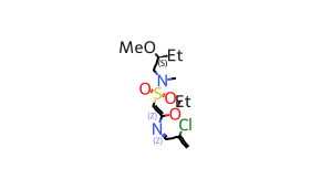 C=C(Cl)/C=N\C(=C\S(=O)(=O)N(C)C[C@H](CC)OC)OCC